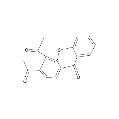 CC(=O)c1ccc2c(=O)c3ccccc3sc2c1C(C)=O